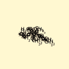 CC(C)(C)c1ccc2c(c1)B1c3ccc(C(C)(C)C)cc3N(c3ccc(-c4cccc5c4oc4ccccc45)cc3)c3cc(C(C)(C)C)cc(c31)N2c1ccc2c(c1)oc1cc(C(C)(C)C)ccc12